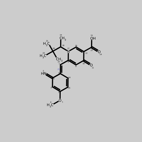 COC1=CC(=N)/C(=C/c2cc(=O)c(C(=O)O)cn2C(C)C(C)(C)C)C=C1